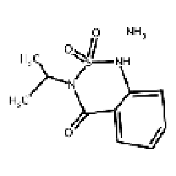 CC(C)N1C(=O)c2ccccc2NS1(=O)=O.N